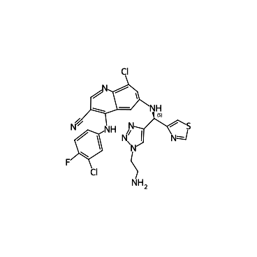 N#Cc1cnc2c(Cl)cc(N[C@@H](c3cscn3)c3cn(CCN)nn3)cc2c1Nc1ccc(F)c(Cl)c1